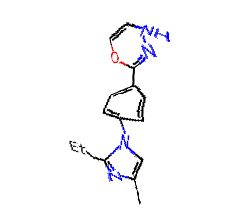 CCc1nc(C)cn1-c1ccc(C2=NNC=CO2)cc1